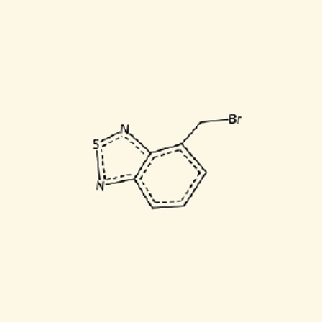 BrCc1cccc2nsnc12